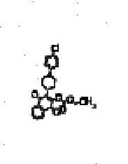 CCOC(=O)OC1=C(C2CCC(c3ccc(Cl)cc3)CC2)C(=O)c2ccccc2C1=O